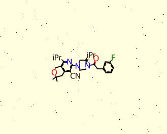 CC(C)c1nc(N2CCN(C(=O)Cc3cccc(F)c3)[C@H](C(C)C)C2)c(C#N)c2c1COC(C)(C)C2